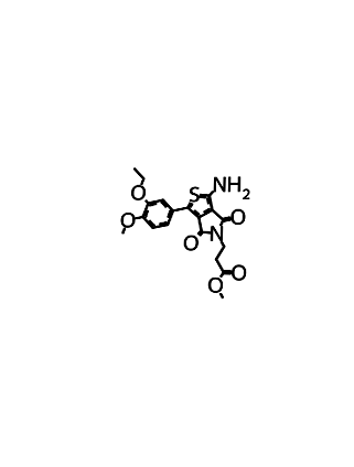 CCOc1cc(-c2sc(N)c3c2C(=O)N(CCC(=O)OC)C3=O)ccc1OC